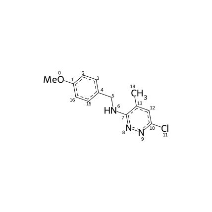 COc1ccc(CNc2nnc(Cl)cc2C)cc1